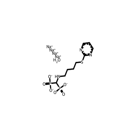 O.O=P([O-])([O-])C(NCCCCSc1ncccn1)P(=O)([O-])[O-].[Na+].[Na+].[Na+].[Na+]